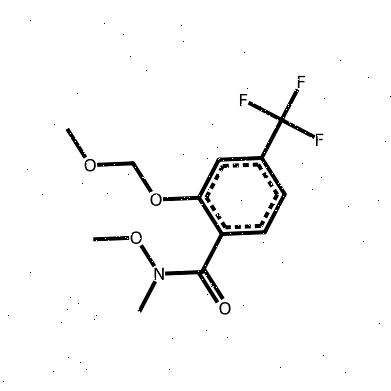 COCOc1cc(C(F)(F)F)ccc1C(=O)N(C)OC